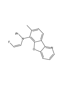 Cc1ccc2c(oc3cccnc32)c1N(/C=C\F)C(C)C